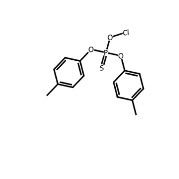 Cc1ccc(OP(=S)(OCl)Oc2ccc(C)cc2)cc1